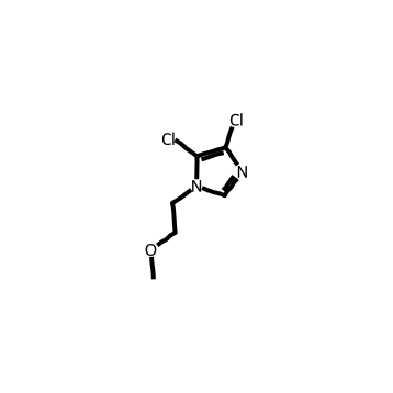 COCCn1cnc(Cl)c1Cl